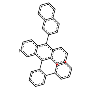 c1ccc(-c2ccccc2-c2c3ccccc3c(-c3ccc4ccccc4c3)c3ccncc23)cc1